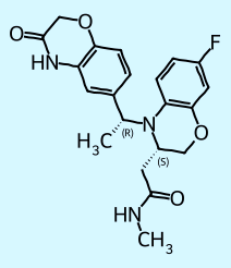 CNC(=O)C[C@H]1COc2cc(F)ccc2N1[C@H](C)c1ccc2c(c1)NC(=O)CO2